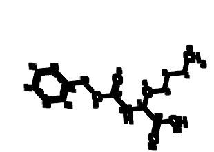 CCCCOC(NC(=O)OCc1ccccc1)C(=O)O